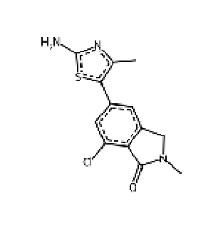 Cc1nc(N)sc1-c1cc(Cl)c2c(c1)CN(C)C2=O